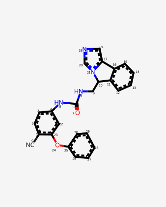 N#Cc1ccc(NC(=O)NCC2c3ccccc3-c3cncn32)cc1Oc1ccccc1